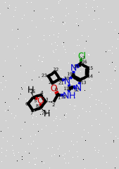 O=C(C[C@H]1C[C@@H]2CC[C@H]1O2)Nc1nc2ccc(Cl)nc2n1C1CCC1